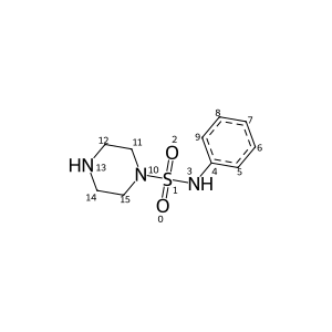 O=S(=O)(Nc1ccccc1)N1CCNCC1